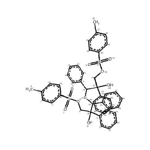 Cc1ccc(S(=O)(=O)OCC(O)(c2ccccc2)C(OC(c2ccccc2)C(O)(COS(=O)(=O)c2ccc(C)cc2)c2ccccc2)c2ccccc2)cc1